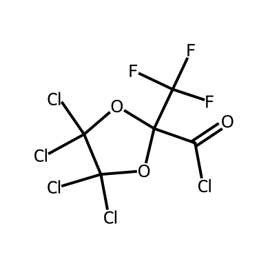 O=C(Cl)C1(C(F)(F)F)OC(Cl)(Cl)C(Cl)(Cl)O1